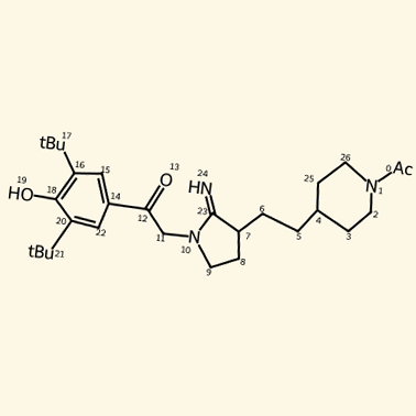 CC(=O)N1CCC(CCC2CCN(CC(=O)c3cc(C(C)(C)C)c(O)c(C(C)(C)C)c3)C2=N)CC1